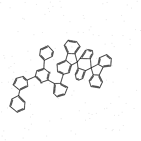 c1ccc(-c2cccc(-c3cc(-c4ccccc4)nc(-c4ccccc4-c4ccc5c(c4)C4(c6ccccc6-5)c5ccccc5C5(c6ccccc6-c6ccccc65)c5ccccc54)n3)c2)cc1